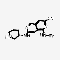 CC(C)Nc1nc(C#N)cc2cnc(N[C@H]3CCCNC3)cc12